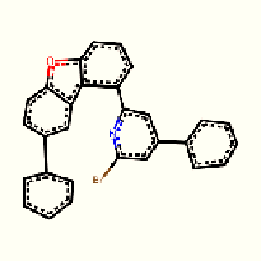 Brc1cc(-c2ccccc2)cc(-c2cccc3oc4ccc(-c5ccccc5)cc4c23)n1